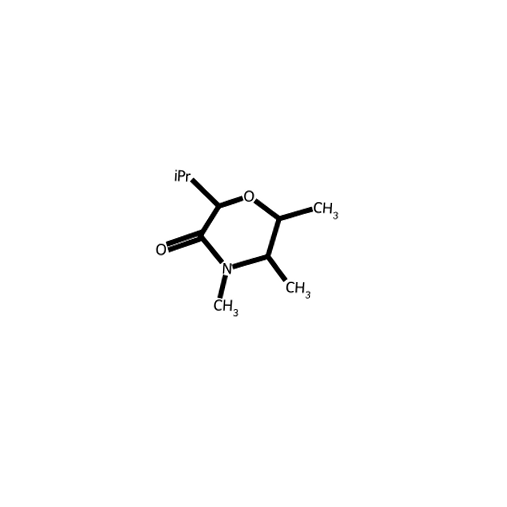 CC(C)C1OC(C)C(C)N(C)C1=O